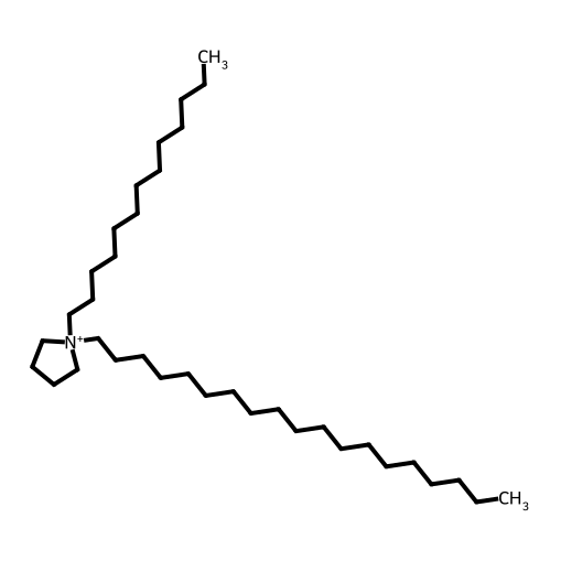 CCCCCCCCCCCCCCCCCCC[N+]1(CCCCCCCCCCCCC)CCCC1